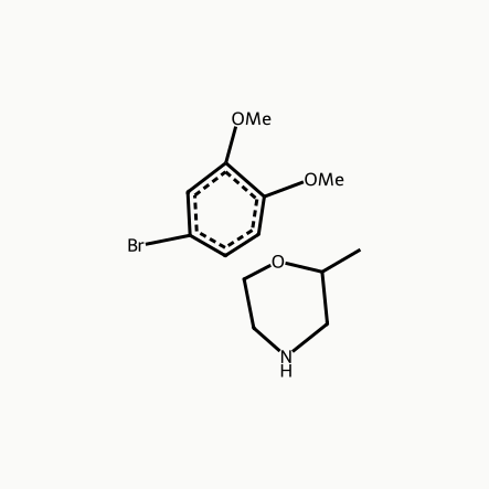 CC1CNCCO1.COc1ccc(Br)cc1OC